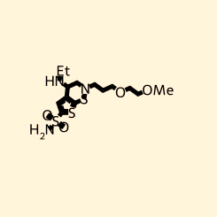 CCNC1CN(CCCOCCOC)Sc2sc(S(N)(=O)=O)cc21